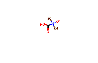 O=C(O)[N+]([O-])(S)S